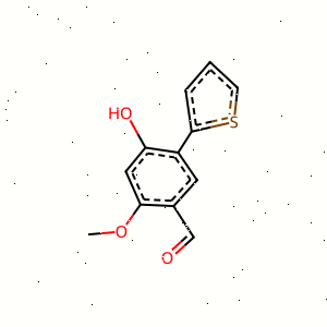 COc1cc(O)c(-c2cccs2)cc1C=O